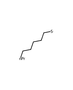 [CH2]CCCCCCC[S]